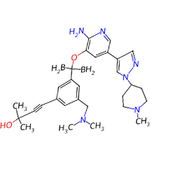 BC(B)(Oc1cc(-c2cnn(C3CCN(C)CC3)c2)cnc1N)c1cc(C#CC(C)(C)O)cc(CN(C)C)c1